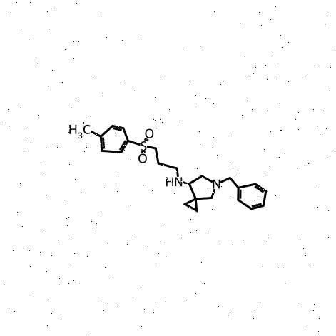 Cc1ccc(S(=O)(=O)CCCN[C@H]2CN(Cc3ccccc3)CC23CC3)cc1